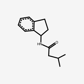 CC(C)CC(=O)NC1CCc2ccccc21